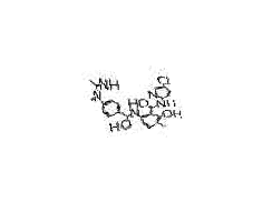 CC(=N)N(C)c1ccc(C(O)Nc2ccc(C)c(O)c2C(=O)Nc2ccc(Cl)cn2)cc1